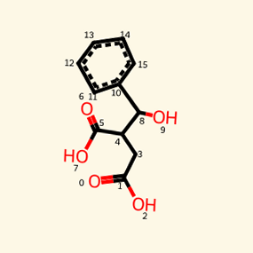 O=C(O)CC(C(=O)O)C(O)c1ccccc1